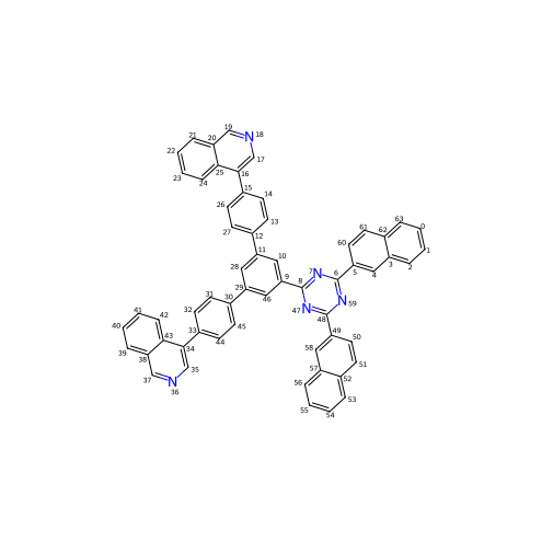 c1ccc2cc(-c3nc(-c4cc(-c5ccc(-c6cncc7ccccc67)cc5)cc(-c5ccc(-c6cncc7ccccc67)cc5)c4)nc(-c4ccc5ccccc5c4)n3)ccc2c1